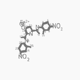 CC(=Nc1ccc([N+](=O)[O-])cc1C)c1cccc(C(C)=Nc2ccc([N+](=O)[O-])cc2C)n1.[Cl-].[Cl-].[Fe+2]